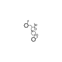 CN(C)C(=O)C(Cc1ccccc1F)CN1CCC2(CC1)OCc1ccccc12